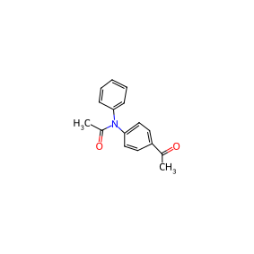 CC(=O)c1ccc(N(C(C)=O)c2ccccc2)cc1